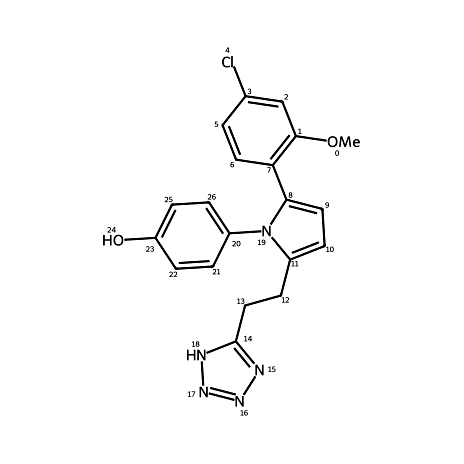 COc1cc(Cl)ccc1-c1ccc(CCc2nnn[nH]2)n1-c1ccc(O)cc1